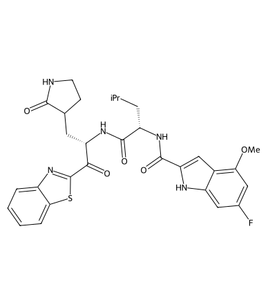 COc1cc(F)cc2[nH]c(C(=O)N[C@@H](CC(C)C)C(=O)N[C@@H](CC3CCNC3=O)C(=O)c3nc4ccccc4s3)cc12